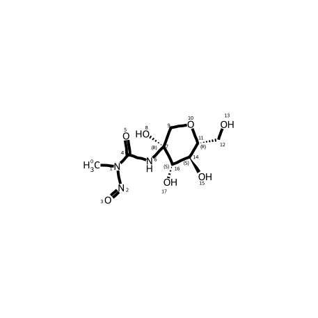 CN(N=O)C(=O)N[C@@]1(O)CO[C@H](CO)[C@@H](O)[C@@H]1O